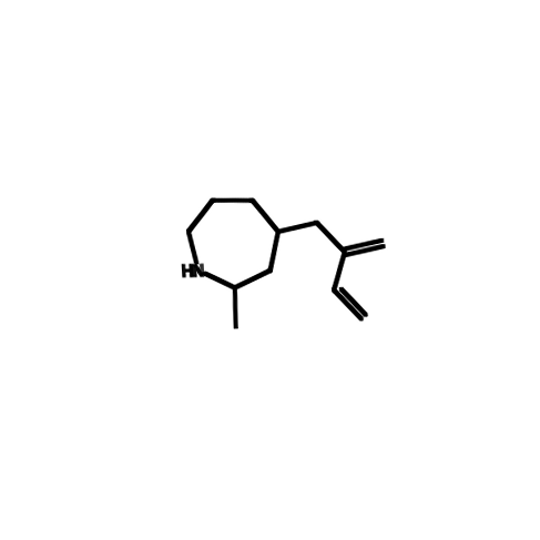 C=CC(=C)CC1CCCNC(C)C1